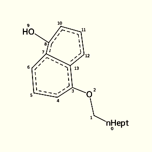 CCCCCCCCOc1cccc2c(O)cccc12